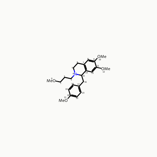 COCCCN1CCc2cc(OC)c(OC)cc2C1Cc1ccc(OC)cc1